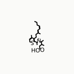 CCC/C=C\C=C(/C)CCC1=C(C(C)N(C)C(C)C(C)CC(=O)O)SCC=C1C